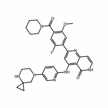 COc1cc(-c2cc(Nc3ccc(N4CCNC5(CC5)C4)cn3)c3c(=O)[nH]ccc3n2)c(F)cc1C(=O)N1CCCCC1